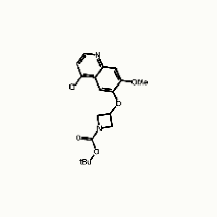 COc1cc2nccc(Cl)c2cc1OC1CN(C(=O)OC(C)(C)C)C1